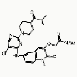 CNC(=O)COc1cc2cc(Nc3nc(N4CCC(C(=O)N(C)C)CC4)ncc3Cl)ccc2n(C)c1=O